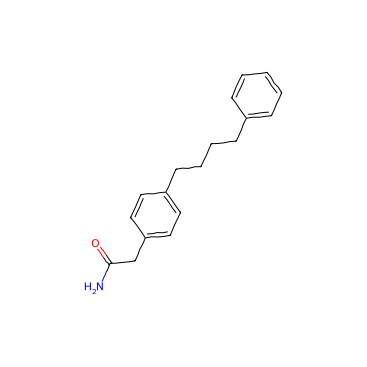 NC(=O)Cc1ccc(CCCCc2ccccc2)cc1